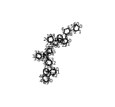 c1ccc(-c2cccc(-c3cccc4c3oc3c5ccccc5c(-c5ccc(N(c6ccccc6)c6ccc(-c7cccc8c7oc7ccccc78)cc6)cc5)cc43)c2)cc1